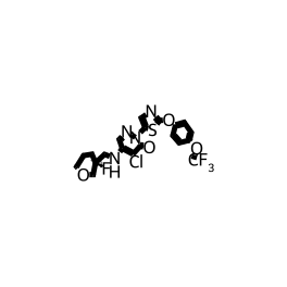 O=c1c(Cl)c(NC[C@@]2(F)CCCOC2)cnn1-c1cnc(Oc2ccc(OC(F)(F)F)cc2)s1